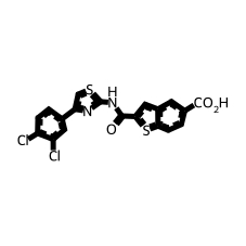 O=C(O)c1ccc2sc(C(=O)Nc3nc(-c4ccc(Cl)c(Cl)c4)cs3)cc2c1